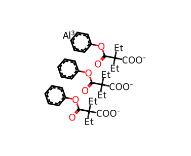 CCC(CC)(C(=O)[O-])C(=O)Oc1ccccc1.CCC(CC)(C(=O)[O-])C(=O)Oc1ccccc1.CCC(CC)(C(=O)[O-])C(=O)Oc1ccccc1.[Al+3]